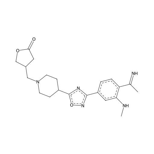 CNc1cc(-c2noc(C3CCN(CC4COC(=O)C4)CC3)n2)ccc1C(C)=N